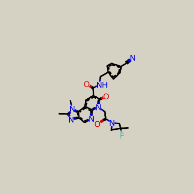 Cc1nc2cnc3c(cc(C(=O)NCc4ccc(C#N)cc4)c(=O)n3CC(=O)N3CC(C)(F)C3)c2n1C